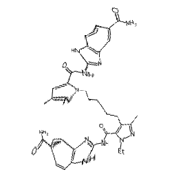 CCn1nc(C)c(CCCCCn2nc(C)cc2C(=O)Nc2nc3cc(C(N)=O)ccc3[nH]2)c1C(=O)Nc1nc2cc(C(N)=O)ccc2[nH]1